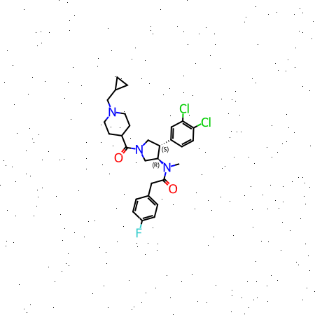 CN(C(=O)Cc1ccc(F)cc1)[C@H]1CN(C(=O)C2CCN(CC3CC3)CC2)C[C@@H]1c1ccc(Cl)c(Cl)c1